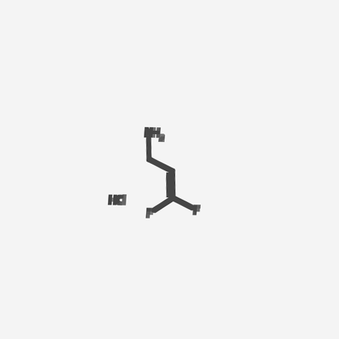 Cl.NCC=C(F)F